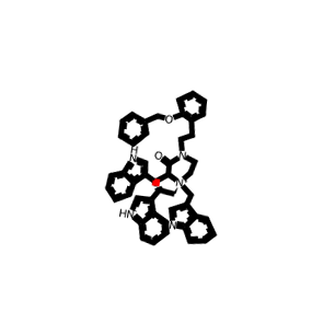 O=C(C[N@@+]1(Cc2c[nH]c3ccccc23)CCN(CCc2ccccc2OCc2ccccc2)C(=O)C1Cc1c[nH]c2ccccc12)c1c[nH]c2ccccc12